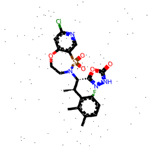 Cc1ccc(F)c([C@@H](C)[C@@H](c2n[nH]c(=O)o2)N2CCOc3cc(Cl)ncc3S2(=O)=O)c1C